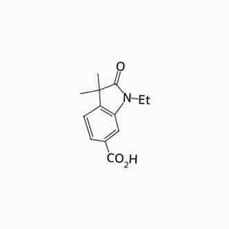 CCN1C(=O)C(C)(C)c2ccc(C(=O)O)cc21